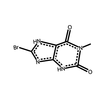 Cn1c(=O)[nH]c2nc(Br)[nH]c2c1=O